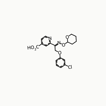 O=C(O)c1ccnc(/C(COc2cccc(Cl)c2)=N/OC2CCCCO2)c1